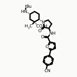 CC(C)(C)N[C@@H]1CC[C@H](N2CCC(NC(=O)c3ccc(-c4ccc(C#N)cc4)o3)C2=O)[C@](C)(C(=O)O)C1